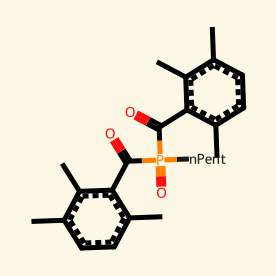 CCCCCP(=O)(C(=O)c1c(C)ccc(C)c1C)C(=O)c1c(C)ccc(C)c1C